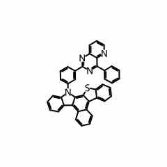 c1ccc(-c2nc(-c3cccc(-n4c5ccccc5c5c6ccccc6c6c7ccccc7sc6c54)c3)nc3cccnc23)cc1